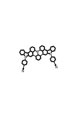 N#Cc1ccc(-n2c3ccccc3c3c4cccc5c4c(cc32)-c2cccc3c2B5c2cccc4c2c-3cc2c4c3ccccc3n2-c2ccc(C#N)cc2)cc1